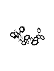 c1ccc(-c2cc3c(c4ccccc24)c2ccccc2n3-c2cccc3c2oc2cccc(-c4nc(-c5ccccc5)c5sc6ccccc6c5n4)c23)cc1